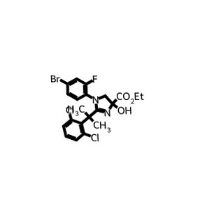 CCOC(=O)C1(O)CN(c2ccc(Br)cc2F)C(C(C)(C)c2c(Cl)cccc2Cl)=N1